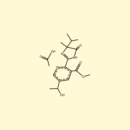 CC(=O)O.COC(=O)c1cc(C(C)O)cnc1C1=NC(C)(C(C)C)C(=O)N1